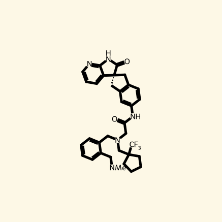 CNCc1ccccc1CN(CC(=O)Nc1ccc2c(c1)C[C@@]1(C2)C(=O)Nc2ncccc21)CC1(C(F)(F)F)CCCC1